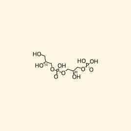 O=P(O)(O)OC[C@@H](O)COP(=O)(O)OC[C@@H](O)CO